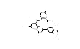 CC(Nc1ccc(Cl)nc1C(=O)OC(C)(C)C)c1cc(C(F)(F)F)cc2c(=O)cc(-c3ccc4cnn(C)c4c3)oc12